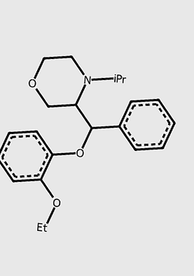 CCOc1ccccc1OC(c1ccccc1)C1COCCN1C(C)C